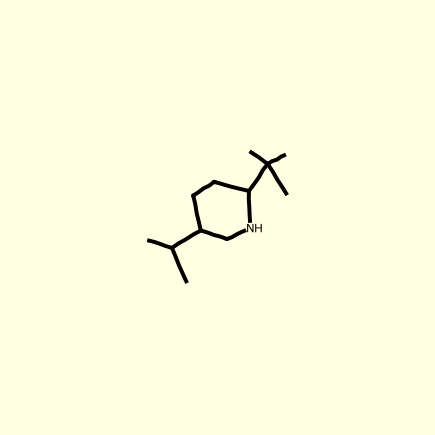 CC(C)C1CCC(C(C)(C)C)NC1